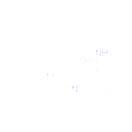 NC(=O)c1ccccc1-c1ccc(Oc2ccccc2)cn1